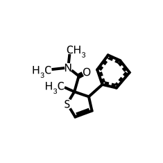 CN(C)C(=O)C1(C)SC=CC1c1ccccc1